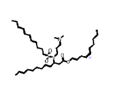 CCCCC/C=C\CCCOC(=O)CC(CCCCCCCCC)N(CCCN(C)C)S(=O)(=O)CCCCCCCCCCC